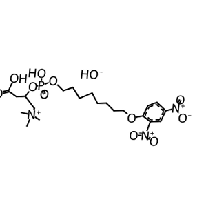 C[N+](C)(C)CC(CC(=O)O)OP(=O)(O)OCCCCCCCCOc1ccc([N+](=O)[O-])cc1[N+](=O)[O-].[OH-]